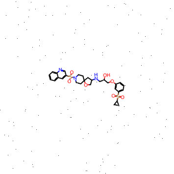 O=S(=O)(c1cccc(OCC(O)CNC2COC3(CCN(S(=O)(=O)c4cnc5ccccc5c4)CC3)C2)c1)C1CC1